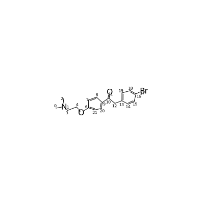 CN(C)CCOc1ccc(C(=O)Cc2ccc(Br)cc2)cc1